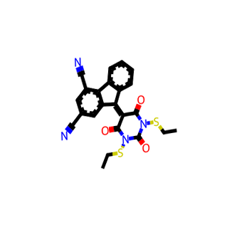 CCSN1C(=O)C(=C2c3ccccc3-c3c(C#N)cc(C#N)cc32)C(=O)N(SCC)C1=O